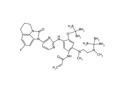 BC(B)(B)Oc1cc(N(C)CCN(C)C(B)(B)B)c(NC(=O)C=C)cc1Nc1nccc(-n2c(=O)n3c4c(cc(F)cc42)CCC3)n1